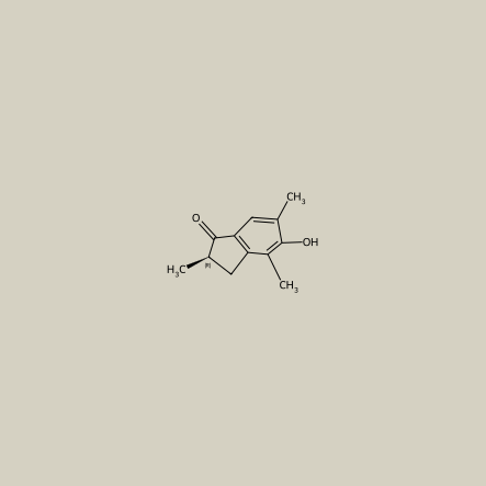 Cc1cc2c(c(C)c1O)C[C@@H](C)C2=O